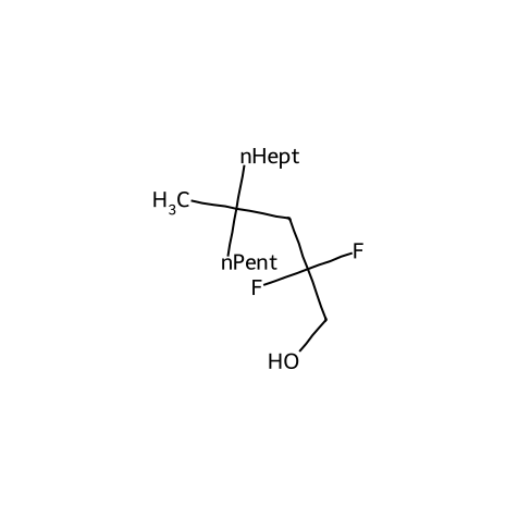 CCCCCCCC(C)(CCCCC)CC(F)(F)CO